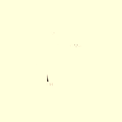 COC(=O)C1=CC[C@H](C)C1